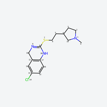 CN1CCC(CCSC2=NCc3cc(Cl)ccc3N2)C1